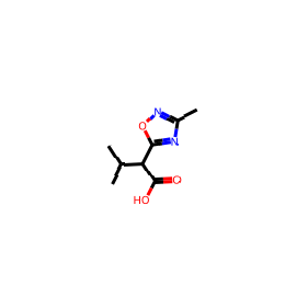 Cc1noc(C(C(=O)O)C(C)C)n1